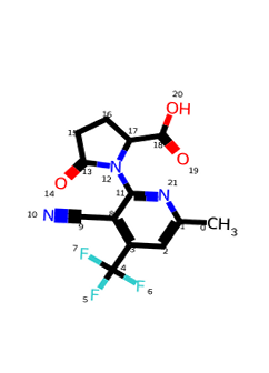 Cc1cc(C(F)(F)F)c(C#N)c(N2C(=O)CCC2C(=O)O)n1